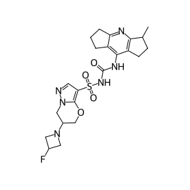 CC1CCc2c1nc1c(c2NC(=O)NS(=O)(=O)c2cnn3c2OCC(N2CC(F)C2)C3)CCC1